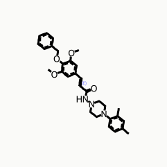 COc1cc(/C=C/C(=O)NN2CCN(c3ccc(C)cc3C)CC2)cc(OC)c1OCc1ccccc1